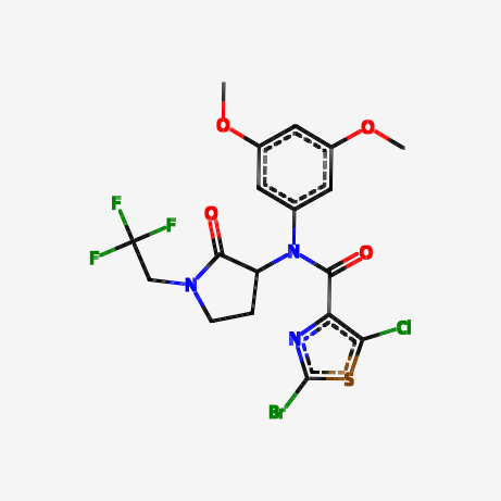 COc1cc(OC)cc(N(C(=O)c2nc(Br)sc2Cl)C2CCN(CC(F)(F)F)C2=O)c1